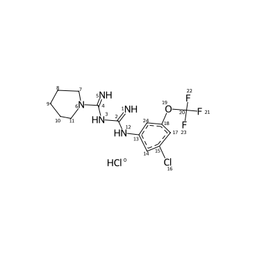 Cl.N=C(NC(=N)N1CCCCC1)Nc1cc(Cl)cc(OC(F)(F)F)c1